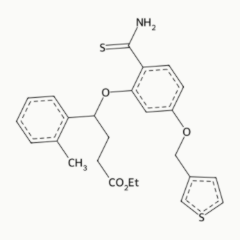 CCOC(=O)CCC(Oc1cc(OCc2ccsc2)ccc1C(N)=S)c1ccccc1C